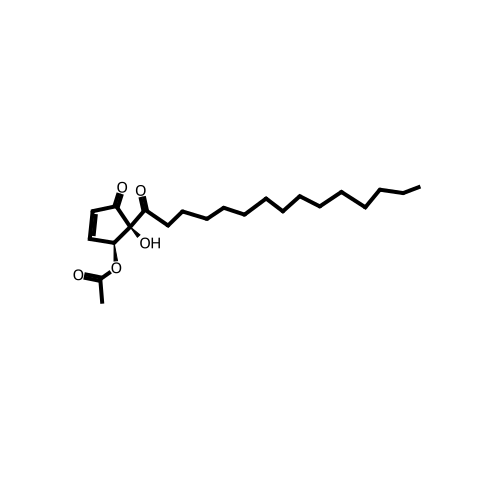 CCCCCCCCCCCCCCC(=O)[C@@]1(O)C(=O)C=C[C@@H]1OC(C)=O